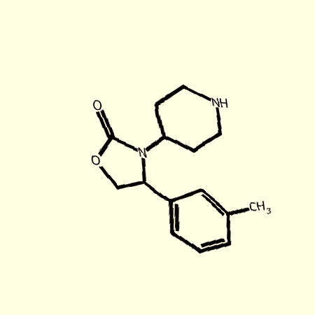 Cc1cccc(C2COC(=O)N2C2CCNCC2)c1